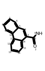 [NH]C(=O)c1cc2ccccc2c2ccccc12